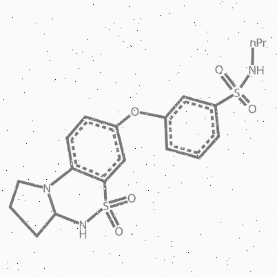 CCCNS(=O)(=O)c1cccc(Oc2ccc3c(c2)S(=O)(=O)NC2CCCN32)c1